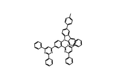 Cc1ccc(-c2ccc3c(c2)c2ccccc2n3-c2ccc(-c3cc(-c4ccccc4)nc(-c4ccccc4)n3)cc2-c2nc(-c3ccccc3)cc(-c3ccccc3)n2)cc1